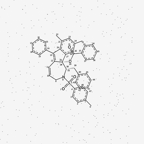 Cc1ccc(S(=O)(=O)N2CC=CC3=C(c4ccccc4)c4c(C)cc(C)cc4[C@@]3(OC(=O)c3ccccc3)[C@@H]2Cc2ccccc2)cc1